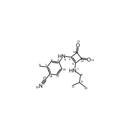 Cc1cc(Nc2c(NCC(C)C)c(=O)c2=O)ccc1C#N